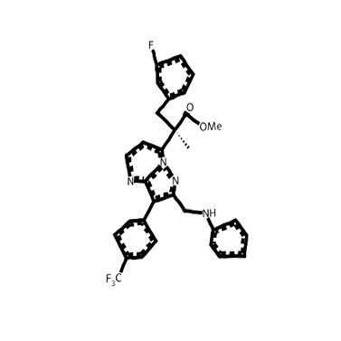 COC(=O)[C@](C)(Cc1cccc(F)c1)c1ccnc2c(-c3ccc(C(F)(F)F)cc3)c(CNc3ccccc3)nn12